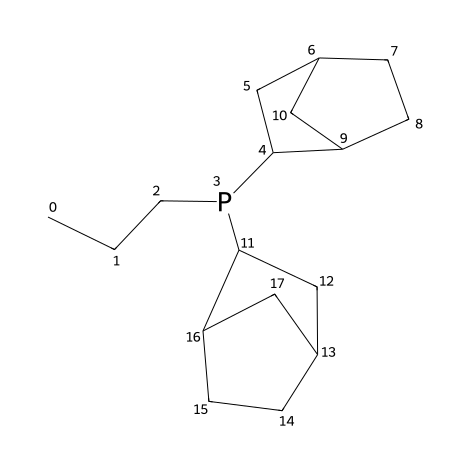 CCCP(C1CC2CCC1C2)C1CC2CCC1C2